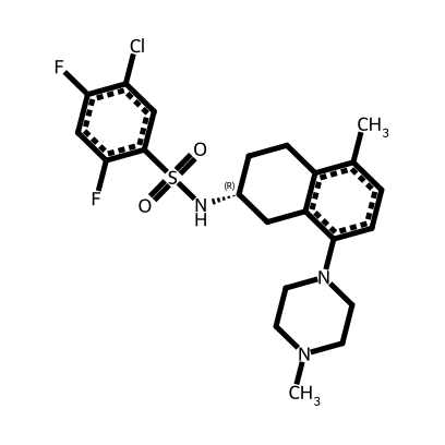 Cc1ccc(N2CCN(C)CC2)c2c1CC[C@@H](NS(=O)(=O)c1cc(Cl)c(F)cc1F)C2